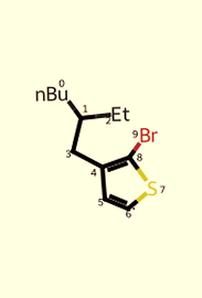 CCCCC(CC)Cc1c[c]sc1Br